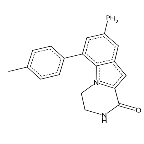 Cc1ccc(-c2cc(P)cc3cc4n(c23)CCNC4=O)cc1